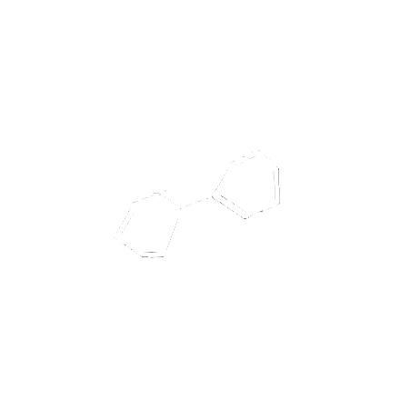 C1=[CH][Hg][CH](c2ccccc2)C=C1